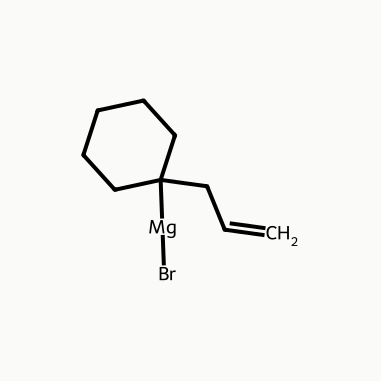 C=CC[C]1([Mg][Br])CCCCC1